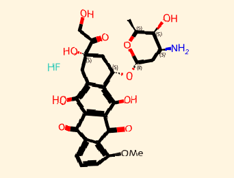 COc1cccc2c1C(=O)c1c(O)c3c(c(O)c1C2=O)C[C@@](O)(C(=O)CO)C[C@@H]3O[C@H]1C[C@H](N)[C@H](O)[C@H](C)O1.F